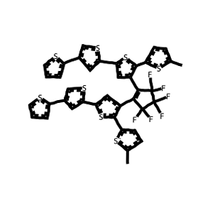 Cc1ccc(-c2sc(-c3cc(-c4cccs4)cs3)cc2C2=C(c3cc(-c4cc(-c5cccs5)cs4)sc3-c3ccc(C)s3)C(F)(F)C(F)(F)C2(F)F)s1